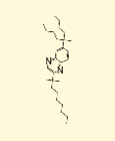 CCCCCCCC(C)(C)c1cnc2cc(C(C)(CCCC)CCCC)ccc2n1